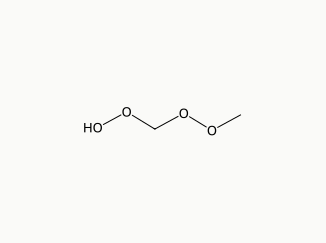 COOCOO